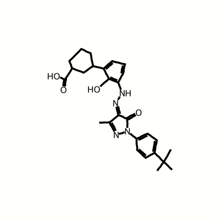 CC1=NN(c2ccc(C(C)(C)C)cc2)C(=O)/C1=N\Nc1cccc(C2CCCC(C(=O)O)C2)c1O